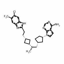 CN(C[C@@H]1CC[C@H](n2ccc3c(N)ncnc32)C1)[C@H]1C[C@@H](CCc2nc3cc(C(F)(F)F)c(Cl)cc3[nH]2)C1